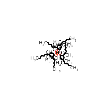 CCCCCC(C)(C)c1ccc(OP(Oc2ccc(C(C)(C)CCCCC)cc2C(C)(C)CCCCC)Oc2ccc(C(C)(C)CCCCC)cc2C(C)(C)CCCCC)c(C(C)(C)CCCCC)c1